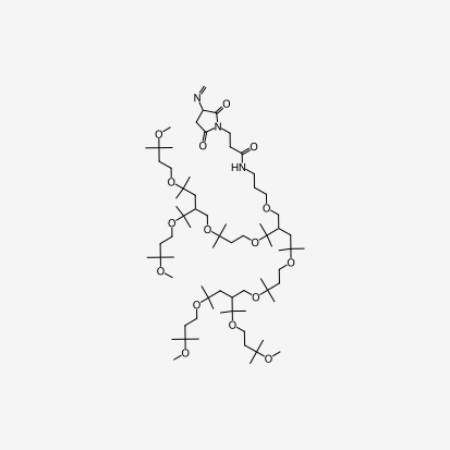 C=NC1CC(=O)N(CCC(=O)NCCCOCC(CC(C)(C)OCCC(C)(C)OCC(CC(C)(C)OCCC(C)(C)OC)C(C)(C)OCCC(C)(C)OC)C(C)(C)OCCC(C)(C)OCC(CC(C)(C)OCCC(C)(C)OC)C(C)(C)OCCC(C)(C)OC)C1=O